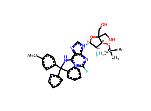 COc1ccc(C(Nc2nc(F)nc3c2ncn3[C@@H]2OC(CO)(CO)[C@@H](O[Si](C)(C)C(C)(C)C)[C@@H]2F)(c2ccccc2)c2ccccc2)cc1